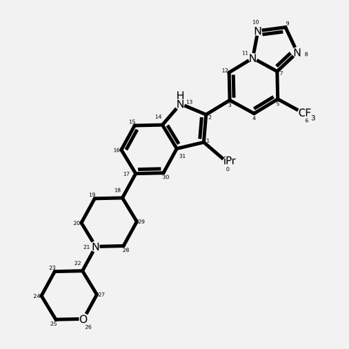 CC(C)c1c(-c2cc(C(F)(F)F)c3ncnn3c2)[nH]c2ccc(C3CCN(C4CCCOC4)CC3)cc12